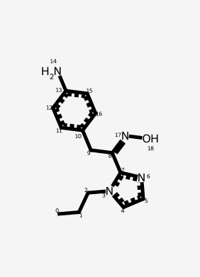 CCCn1ccnc1/C(Cc1ccc(N)cc1)=N\O